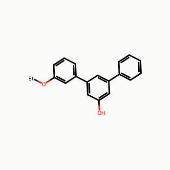 CCOc1cccc(-c2cc(O)cc(-c3ccccc3)c2)c1